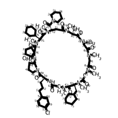 CC[C@H](C)[C@@H]1NC(=O)[C@@H](C)N(C)C(=O)C[C@@H](C(=O)N2CCCCC2)N(C)C(=O)[C@H](C2CCCCC2)N(C)C(=O)C2(CCCC2)N[C@]2(C=O)CCCN2C(=O)[C@H](CCCc2ccc(Cl)cc2)NC(=O)CN(C)C(=O)[C@H](CC2CCCCC2)N(C)C(=O)CN(C)C(=O)CN(C)C1=O